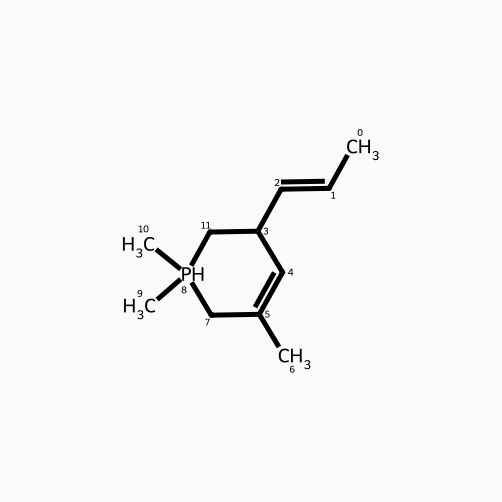 CC=CC1C=C(C)C[PH](C)(C)C1